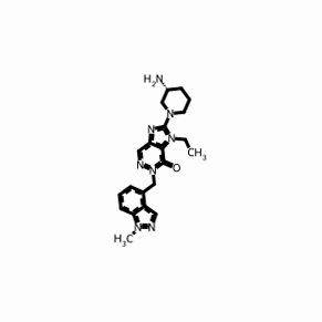 CCn1c(N2CCC[C@@H](N)C2)nc2cnn(Cc3cccc4c3cnn4C)c(=O)c21